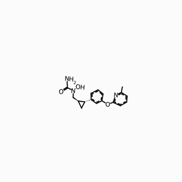 Cc1cccc(Oc2cccc([C@@H]3C[C@H]3CN(O)C(N)=O)c2)n1